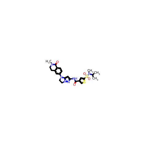 CC(C)N(C)S(=O)(=O)c1cc(C(=O)Nc2cc3n(n2)CCN3c2ccc3c(c2)CCN(C)C3=O)cs1